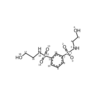 O=S(=O)(NCCO)c1cccc(S(=O)(=O)NCCO)c1